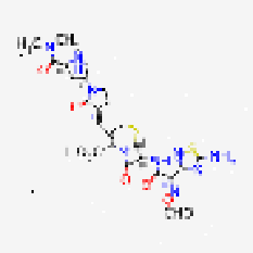 CN(C)C(=O)[C@@H]1C[C@H](N2CC/C(=C\C3=C(C(=O)O)N4C(=O)[C@@H](NC(=O)/C(=N\OC=O)c5nsc(N)n5)[C@H]4SC3)C2=O)CN1